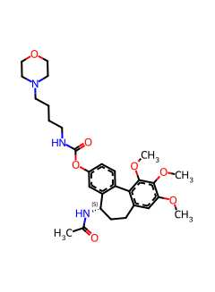 COc1cc2c(c(OC)c1OC)-c1ccc(OC(=O)NCCCCN3CCOCC3)cc1[C@@H](NC(C)=O)CC2